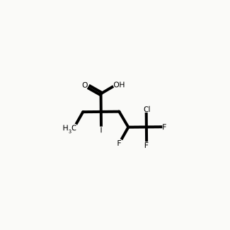 CCC(I)(CC(F)C(F)(F)Cl)C(=O)O